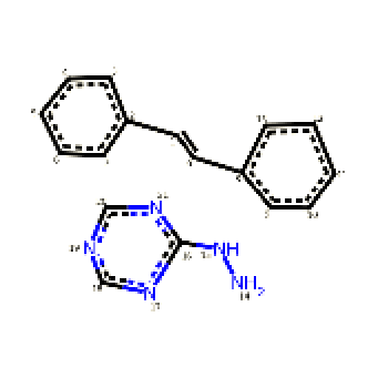 C(=Cc1ccccc1)c1ccccc1.NNc1ncncn1